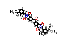 C=C(C)c1cccc(C(C)(C)N2C(=O)c3ccc(C(=O)c4ccc5c(c4)C(=O)N(C(C)(C)c4cccc(C(=C)C)c4)C5=O)cc3C2=O)c1